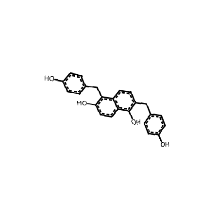 Oc1ccc(Cc2ccc3c(Cc4ccc(O)cc4)c(O)ccc3c2O)cc1